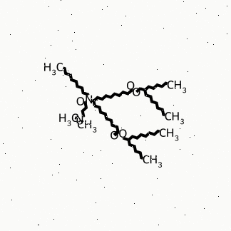 CCCCCCCCCCN(C(=O)CCCN(C)C)C(CCCCCCCCC(=O)OCC(CCCCCC)CCCCCCCC)CCCCCCCCC(=O)OCC(CCCCCC)CCCCCCCC